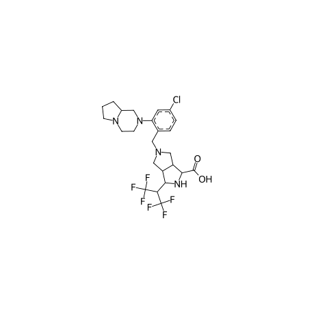 O=C(O)C1NC(C(C(F)(F)F)C(F)(F)F)C2CN(Cc3ccc(Cl)cc3N3CCN4CCCC4C3)CC12